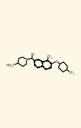 CCC(c1ccc2ccc(OC3CCC(C(F)(F)F)CC3)c(C(F)(F)F)c2c1)N1CCC(C(=O)O)CC1